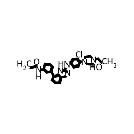 C=CC(=O)Nc1cccc(-c2cccc3cnc(Nc4ccc(N5CCN(CC(C)O)CC5)c(Cl)c4)nc23)c1